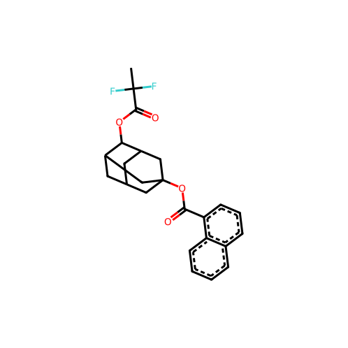 CC(F)(F)C(=O)OC1C2CC3CC1CC(OC(=O)c1cccc4ccccc14)(C3)C2